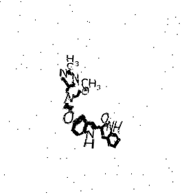 COCCN(CCOc1ccc2[nH]c(-c3cc4ccccc4[nH]c3=O)cc2c1)Cc1cnc(C)nc1